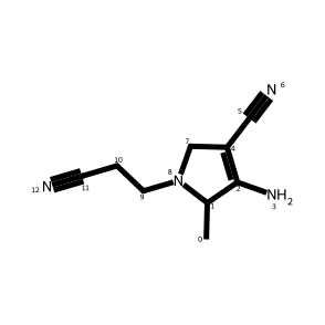 CC1C(N)=C(C#N)CN1CCC#N